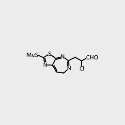 CSc1nc2c(s1)=NC(CC(Cl)C=O)=NCC=2